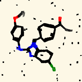 COC(=O)c1ccc(Cn2c(Nc3ccc(OC(F)(F)F)cc3)nc3cc(Cl)ccc32)cc1